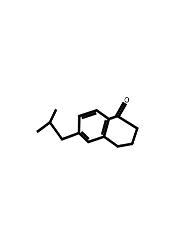 CC(C)Cc1ccc2c(c1)CCCC2=O